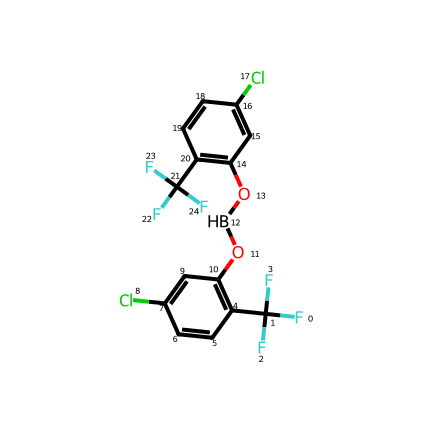 FC(F)(F)c1ccc(Cl)cc1OBOc1cc(Cl)ccc1C(F)(F)F